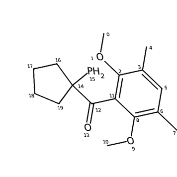 COc1c(C)cc(C)c(OC)c1C(=O)C1(P)CCCC1